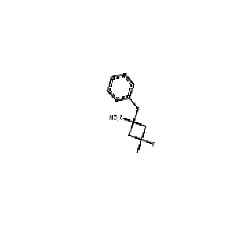 CC1(F)CC(Cc2ccccc2)(C(=O)O)C1